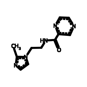 Cc1nccn1CCNC(=O)c1cnccn1